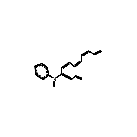 C=C\C=C/C=C\C=C/C(=C\C=C)N(C)c1ccccc1